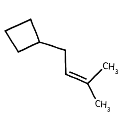 CC(C)=CCC1CCC1